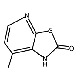 Cc1ccnc2sc(=O)[nH]c12